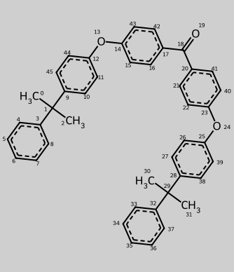 CC(C)(c1ccccc1)c1ccc(Oc2ccc(C(=O)c3ccc(Oc4ccc(C(C)(C)c5ccccc5)cc4)cc3)cc2)cc1